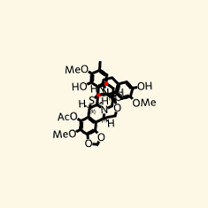 COc1cc2c(cc1O)CCN[C@]21CS[C@@H]2c3c(OC(C)=O)c(OC)c4c(c3[C@H](COC1=O)N1C[C@H]3Cc5cc(C)c(OC)c(O)c5C([C@H]21)N3C)OCO4